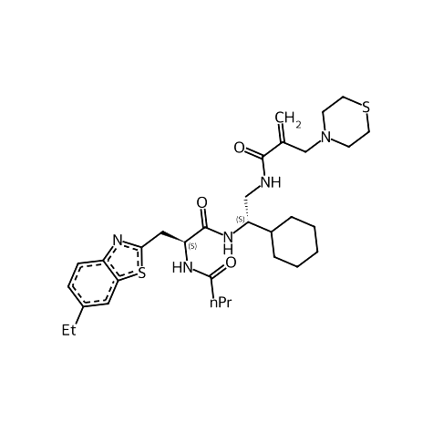 C=C(CN1CCSCC1)C(=O)NC[C@@H](NC(=O)[C@H](Cc1nc2ccc(CC)cc2s1)NC(=O)CCC)C1CCCCC1